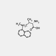 C=Cc1cccc2ccccc12.CC(C)[C@H](N)C(=O)O